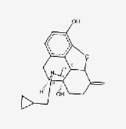 C=C1CC[C@@]2(O)[C@H]3Cc4ccc(O)c5c4[C@@]2(CCN3CC2CC2)C1O5